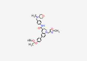 CCCCOC(C)Oc1ccc(-c2ccc3c(c2)C=C(C(=O)Nc2ccc(CN(C)C4CCOCC4)cc2)CCN3Cc2coc(C)n2)cc1